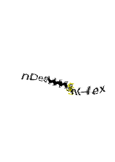 CCCCCCCCCCCCCCCCCCSSCCCCCC